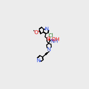 COc1ccc2ncc(Cl)c(CCCC3(C(=O)NO)CCN(CC#Cc4ccncc4)CC3)c2c1